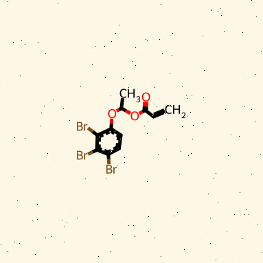 C=CC(=O)OC(C)Oc1ccc(Br)c(Br)c1Br